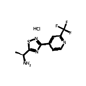 C[C@H](N)c1nc(-c2ccnc(C(F)(F)F)c2)ns1.Cl